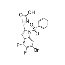 O=C(O)NCc1cc2c(F)c(F)c(Br)cc2n1S(=O)(=O)c1ccccc1